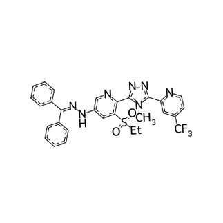 CCS(=O)(=O)c1cc(NN=C(c2ccccc2)c2ccccc2)cnc1-c1nnc(-c2cc(C(F)(F)F)ccn2)n1C